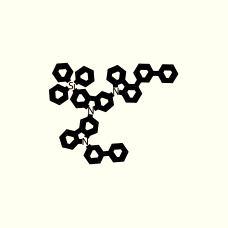 c1ccc(-c2cccc(-c3cccc4c3c3ccccc3n4-c3ccc4c(c3)c3cc([Si](c5ccccc5)(c5ccccc5)c5ccccc5)ccc3n4-c3ccc4c(c3)c3ccccc3n4-c3cccc(-c4ccccc4)c3)c2)cc1